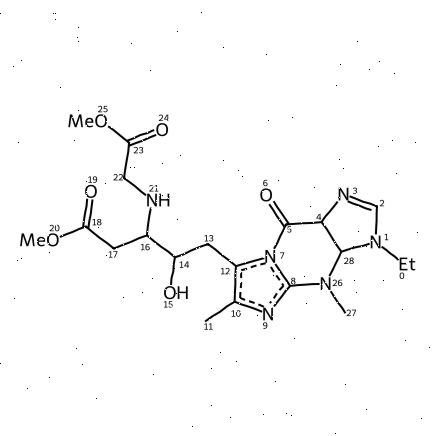 CCN1C=NC2C(=O)n3c(nc(C)c3CC(O)C(CC(=O)OC)NCC(=O)OC)N(C)C21